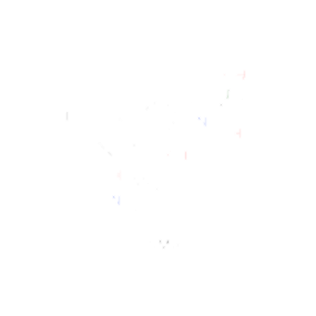 CSCC[C@H](N)C(=O)O.Cc1cccc(O)c1.Cl.NC(CO)(CO)CO.Oc1ccccc1